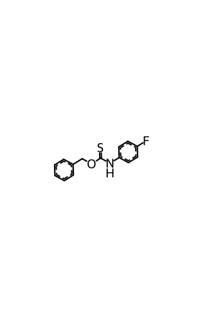 Fc1ccc(NC(=S)OCc2ccccc2)cc1